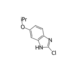 CC(C)Oc1ccc2nc(Cl)[nH]c2c1